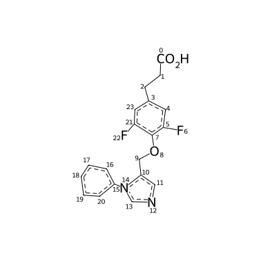 O=C(O)CCc1cc(F)c(OCc2cncn2-c2ccccc2)c(F)c1